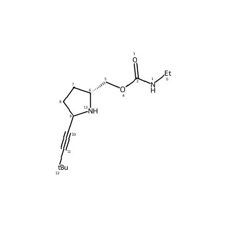 CCNC(=O)OC[C@H]1CCC(C#CC(C)(C)C)N1